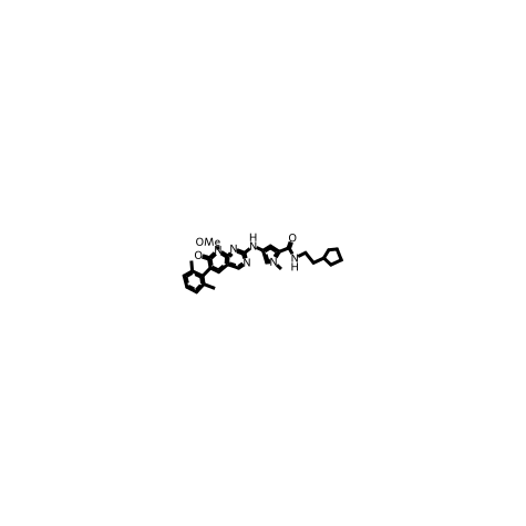 COn1c(=O)c(-c2c(C)cccc2C)cc2cnc(Nc3cc(C(=O)NCCC4CCCC4)n(C)c3)nc21